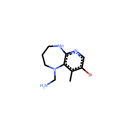 Cc1c(Br)cnc2c1N(CN)CCCN2